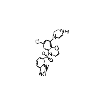 O=S(=O)(c1cccc2nonc12)N1CCOc2c(N3CCNCC3)cc(Cl)cc21